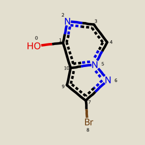 Oc1nccn2nc(Br)cc12